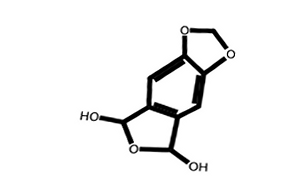 OC1OC(O)c2cc3c(cc21)OCO3